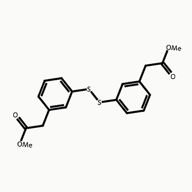 COC(=O)Cc1cccc(SSc2cccc(CC(=O)OC)c2)c1